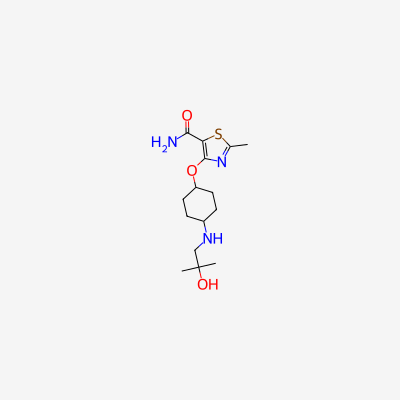 Cc1nc(OC2CCC(NCC(C)(C)O)CC2)c(C(N)=O)s1